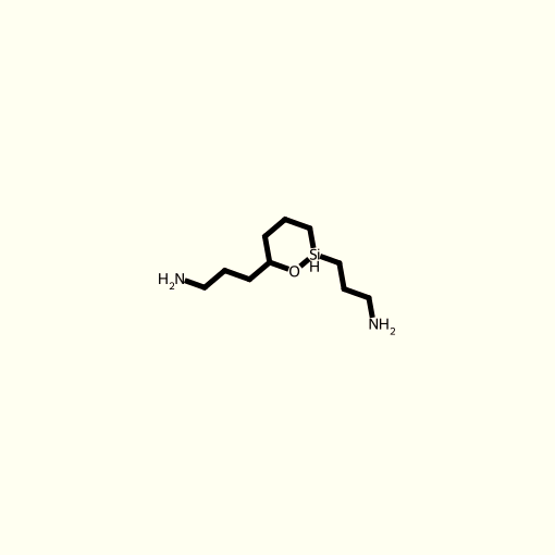 NCCCC1CCC[SiH](CCCN)O1